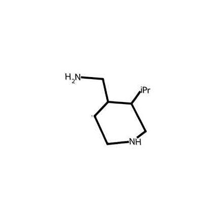 CC(C)C1CNC[CH]C1CN